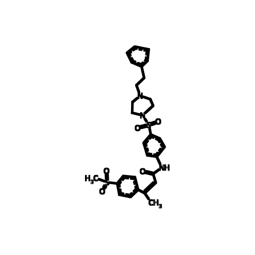 CC(=CC(=O)Nc1ccc(S(=O)(=O)N2CCN(CCc3ccccc3)CC2)cc1)c1ccc(S(C)(=O)=O)cc1